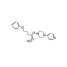 Cl.O=C(CCCOc1ccccc1)ON1CCN(c2ccncc2)CC1